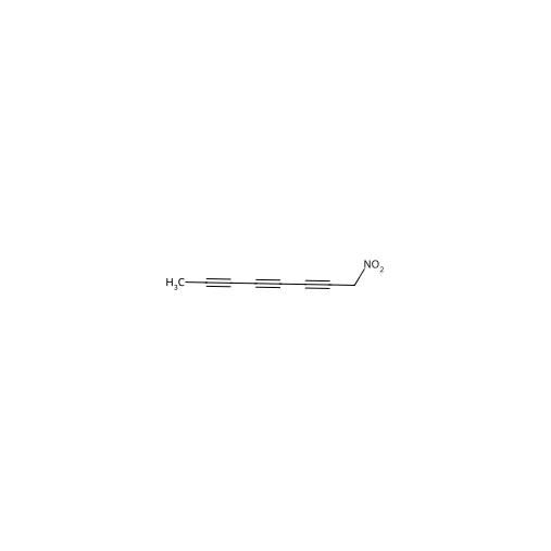 CC#CC#CC#CC[N+](=O)[O-]